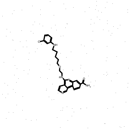 NC(=O)c1ccc2c(c1)nc(NCCOCCCCCNc1cccc(Cl)c1)c1ccncc12